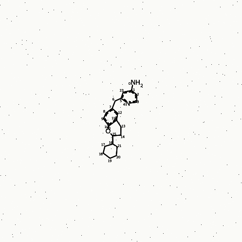 Nc1ccnc(Cc2ccc3c(c2)CCC(C2CCCCC2)O3)c1